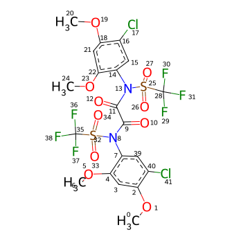 COc1cc(OC)c(N(C(=O)C(=O)N(c2cc(Cl)c(OC)cc2OC)S(=O)(=O)C(F)(F)F)S(=O)(=O)C(F)(F)F)cc1Cl